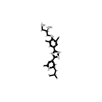 Cc1cc(-c2nc(-c3cc(C)c(OC[C@H](O)CO)c(C)c3)no2)cc(CC(C)C)n1